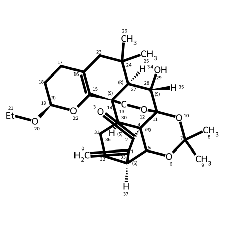 C=C1C(=O)[C@@]23C4OC(C)(C)OC25OC[C@]2(C6=C(CC[C@H](OCC)O6)CC(C)(C)[C@H]2[C@@H]5O)[C@@H]3CC[C@@H]14